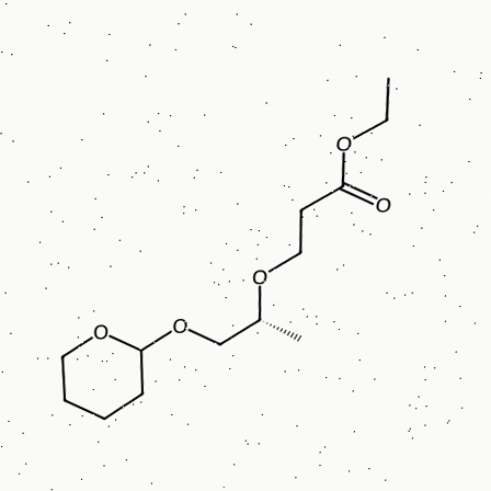 CCOC(=O)CCO[C@H](C)COC1CCCCO1